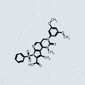 COc1cc(OC)cc(N2Cc3cnc4c(c(C)c(C(=O)O)n4S(=O)(=O)c4ccccc4)c3N(C)C2=O)c1